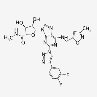 CNC(=O)[C@H]1O[C@@H](n2cnc3c(NCc4cc(C)no4)nc(-n4cc(-c5ccc(F)c(F)c5)nn4)nc32)[C@H](O)[C@@H]1O